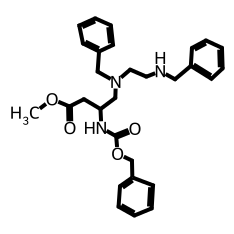 COC(=O)CC(CN(CCNCc1ccccc1)Cc1ccccc1)NC(=O)OCc1ccccc1